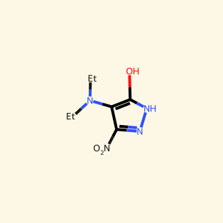 CCN(CC)c1c([N+](=O)[O-])n[nH]c1O